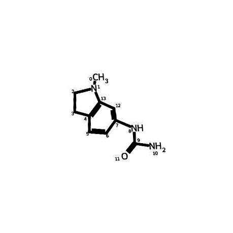 CN1CCc2ccc(NC(N)=O)cc21